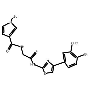 CCc1ccc(-c2csc(NC(=O)CNC(=O)c3ccn(C(C)(C)C)c3)n2)cc1C=O